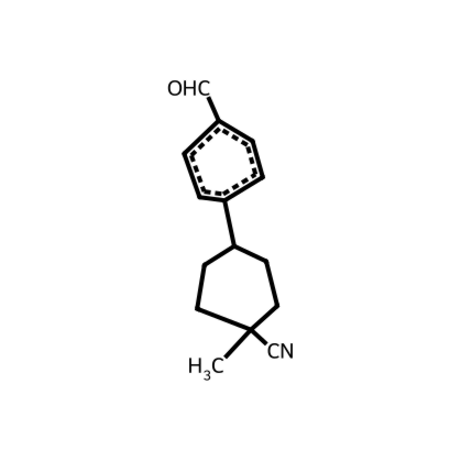 CC1(C#N)CCC(c2ccc(C=O)cc2)CC1